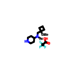 COC1(CN(C(C)=O)C2CCNCC2)CCC1.O=C(O)C(F)(F)F